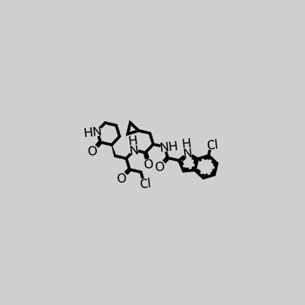 O=C(NC(CC1CC1)C(=O)NC(C[C@@H]1CCCNC1=O)C(=O)CCl)c1cc2cccc(Cl)c2[nH]1